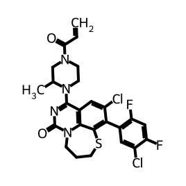 C=CC(=O)N1CCN(c2nc(=O)n3c4c(c(-c5cc(Cl)c(F)cc5F)c(Cl)cc24)SCCC3)C(C)C1